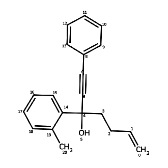 C=CCCC(O)(C#Cc1ccccc1)c1ccccc1C